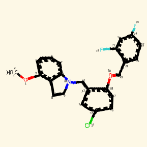 O=C(O)Oc1cccc2c1CCN2Cc1cc(Cl)ccc1OCc1ccc(F)cc1F